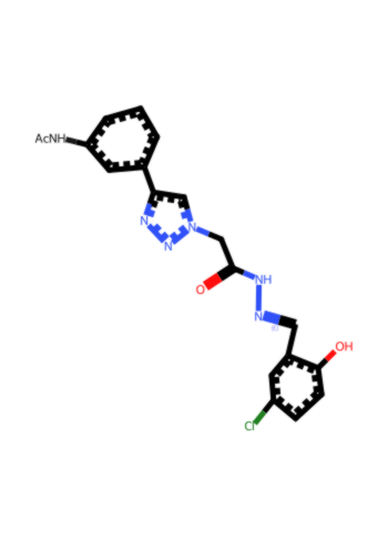 CC(=O)Nc1cccc(-c2cn(CC(=O)N/N=C/c3cc(Cl)ccc3O)nn2)c1